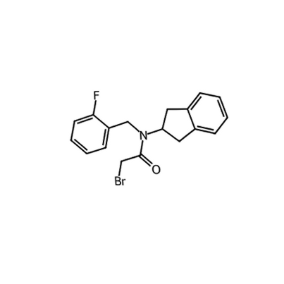 O=C(CBr)N(Cc1ccccc1F)C1Cc2ccccc2C1